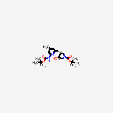 Cc1cc(C[C@@H]2CN(C(=O)OC(C)(C)C)C[C@H]2O)nc(NC(=O)OC(C)(C)C)c1